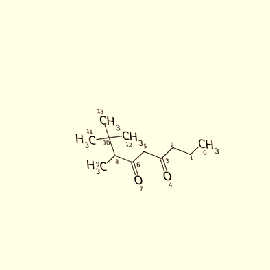 CCCC(=O)CC(=O)C(C)C(C)(C)C